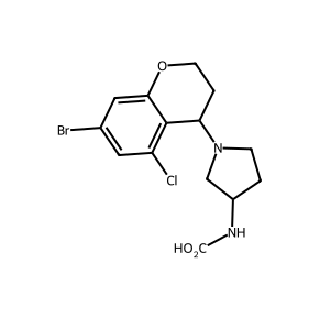 O=C(O)NC1CCN(C2CCOc3cc(Br)cc(Cl)c32)C1